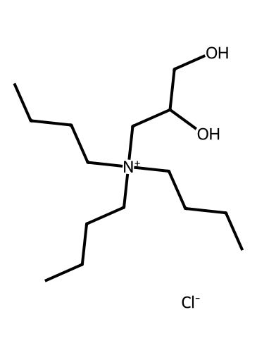 CCCC[N+](CCCC)(CCCC)CC(O)CO.[Cl-]